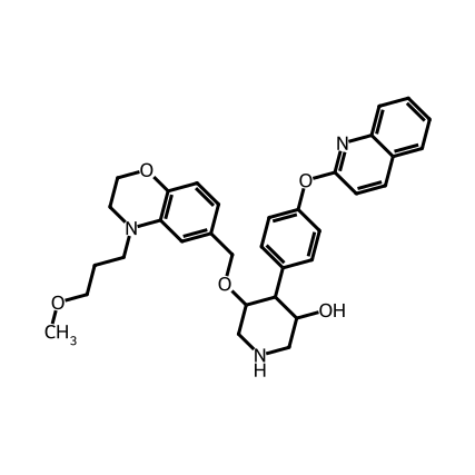 COCCCN1CCOc2ccc(COC3CNCC(O)C3c3ccc(Oc4ccc5ccccc5n4)cc3)cc21